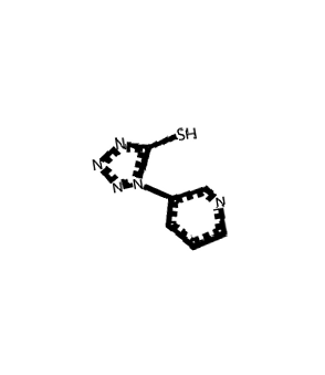 Sc1nnnn1-c1cccnc1